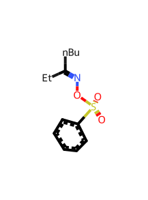 CCCCC(CC)=NOS(=O)(=O)c1ccccc1